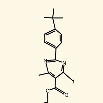 CCOC(=O)c1c(C)nc(-c2ccc(C(C)(C)C)cc2)nc1I